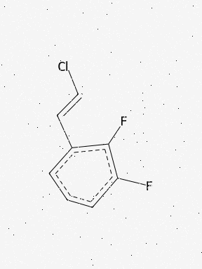 Fc1cccc(C=[C]Cl)c1F